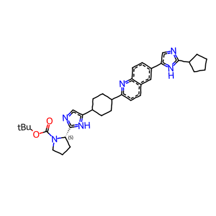 CC(C)(C)OC(=O)N1CCC[C@H]1c1ncc(C2CCC(c3ccc4cc(-c5cnc(C6CCCC6)[nH]5)ccc4n3)CC2)[nH]1